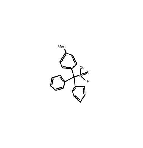 COc1ccc(C(c2ccccc2)(c2ccccc2)P(=O)(O)O)cc1